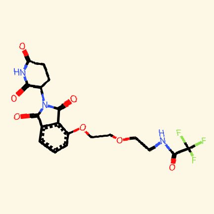 O=C1CCC(N2C(=O)c3cccc(OCCOCCNC(=O)C(F)(F)F)c3C2=O)C(=O)N1